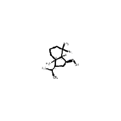 CC(C)[C@@H]1C/C(=N\O)[C@H]2C(C)(C)CCC[C@@]12C